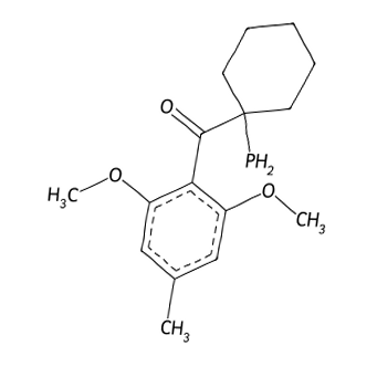 COc1cc(C)cc(OC)c1C(=O)C1(P)CCCCC1